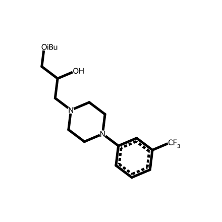 CC(C)COCC(O)CN1CCN(c2cccc(C(F)(F)F)c2)CC1